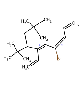 C=C/C=C(Br)\C=C(/C=C)C(CC(C)(C)C)C(C)(C)C